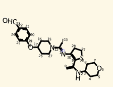 C=C(NC1CCOCC1)C1=C(/N=C(\I)N2CCC(Oc3ccc(C=O)cc3)CC2)CCS1